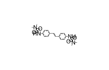 CN(C)S(=O)(=O)Nc1ccc(C=Cc2ccc(NS(=O)(=O)N(C)C)cc2)cc1